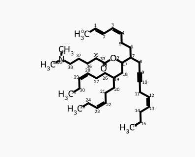 C/C=C/C=C\CCC(CC#CC/C=C\CCC)C(CC(CC/C=C\CC)CC/C=C\CC)OC(=O)CCCCN(C)C